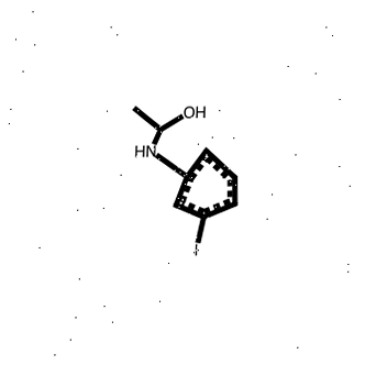 CC(O)Nc1cccc(I)c1